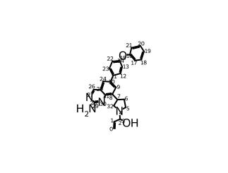 C=CC(O)N1CCC(c2cc(-c3ccc(Oc4ccccc4)cc3)cc3cnc(N)nc23)C1